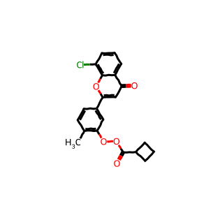 Cc1ccc(-c2cc(=O)c3cccc(Cl)c3o2)cc1OOC(=O)C1CCC1